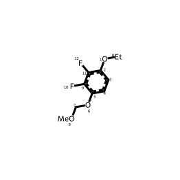 CCOc1ccc(OCOC)c(F)c1F